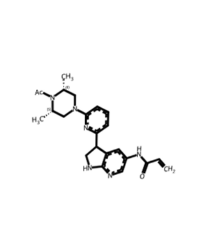 C=CC(=O)Nc1cnc2c(c1)C(c1cccc(N3C[C@@H](C)N(C(C)=O)[C@@H](C)C3)n1)CN2